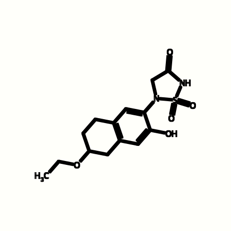 CCOC1CCc2cc(N3CC(=O)NS3(=O)=O)c(O)cc2C1